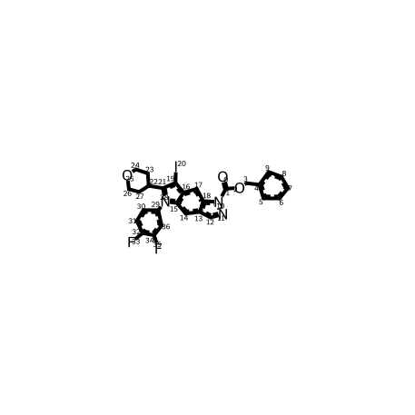 O=C(OCc1ccccc1)n1ncc2cc3c(cc21)c(I)c(C1CCOCC1)n3-c1ccc(F)c(F)c1